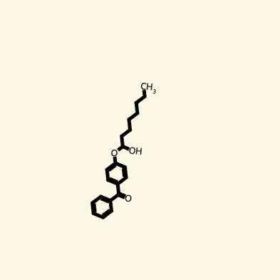 CCCCCCCC(O)Oc1ccc(C(=O)c2ccccc2)cc1